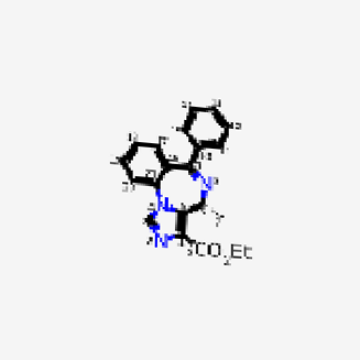 CCOC(=O)c1ncn2c1[C@@H](C)N=C(c1ccccc1)c1ccccc1-2